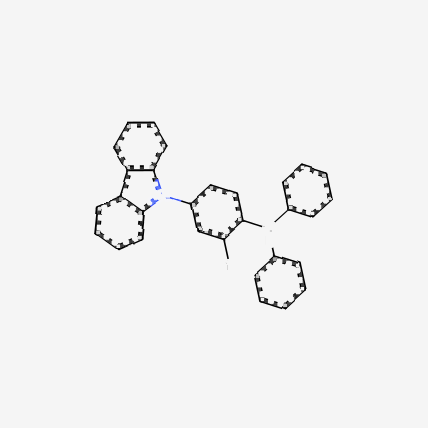 [2H]c1cc(-n2c3ccccc3c3ccccc32)ccc1[SiH](c1ccccc1)c1ccccc1